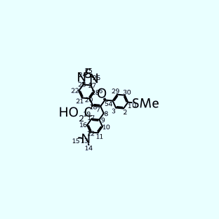 CSc1ccc(C(=O)C(Cc2ccc(N(C)C)cc2)=C(C(=O)O)c2ccc3nsnc3c2)cc1